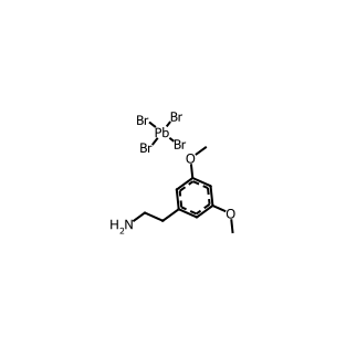 COc1cc(CCN)cc(OC)c1.[Br][Pb]([Br])([Br])[Br]